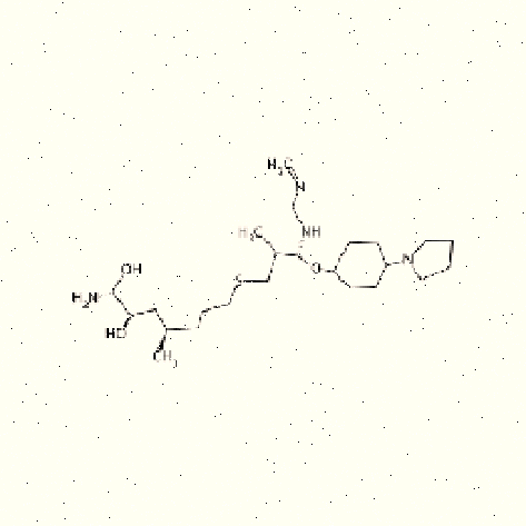 C=NCN[C@H](OC1CCC(N2CCCC2)CC1)C(C)CSCCC[C@@H](C)C[C@@H](O)[C@H](N)O